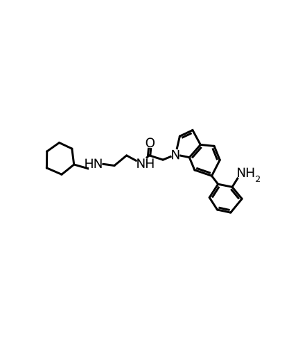 Nc1ccccc1-c1ccc2ccn(CC(=O)NCCNCC3CCCCC3)c2c1